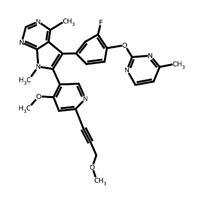 COCC#Cc1cc(OC)c(-c2c(-c3ccc(Oc4nccc(C)n4)c(F)c3)c3c(C)ncnc3n2C)cn1